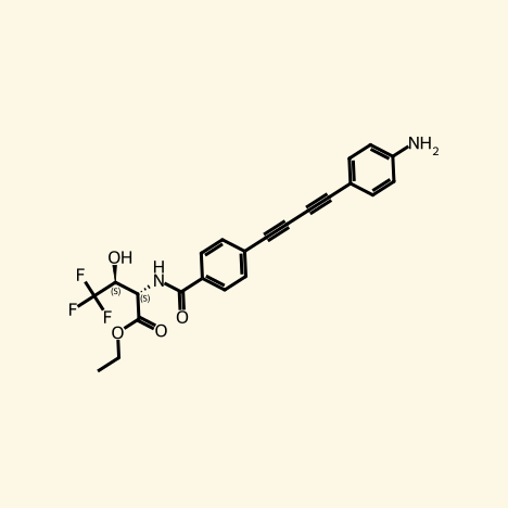 CCOC(=O)[C@@H](NC(=O)c1ccc(C#CC#Cc2ccc(N)cc2)cc1)[C@H](O)C(F)(F)F